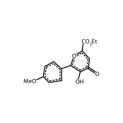 CCOC(=O)c1cc(=O)c(O)c(-c2ccc(OC)cc2)o1